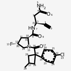 C#C[C@H](CC(N)=O)NC(=O)[C@@H]1C[C@@H](F)CN1C(=O)C1(c2ccc(Cl)cc2)CC(C)C1